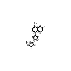 Fc1ccc(-c2csc([C@@H]3CCCN3)n2)c2ccccc12